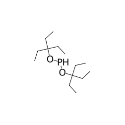 CCC(CC)(CC)OPOC(CC)(CC)CC